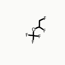 FC[C](F)OC(F)(F)F